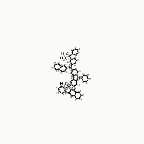 CC1(C)c2ccccc2-c2ccc(N(c3ccc4ccccc4c3)c3ccc4c(c3)c3cc(C5(C)c6ccccc6-c6cc7ccccc7cc65)ccc3n4C3C=CC=CC3)cc21